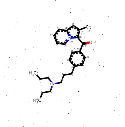 CCCN(CCC)CCCc1ccc(C(=O)c2c(C)cc3ccccn23)cc1